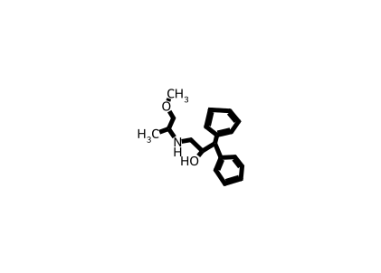 COCC(C)NCC(O)C(c1ccccc1)c1ccccc1